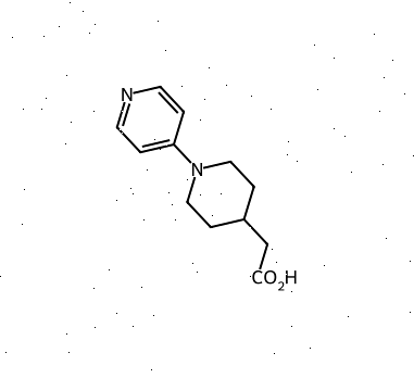 O=C(O)CC1CCN(c2ccncc2)CC1